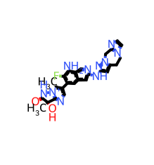 Cc1c(-c2cc3cc(Nc4cc5n(n4)Cc4nccn4CC5)ncc3c(N)c2F)cnc2[n+]1NC(=O)C2(C)O